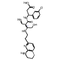 N=C/C(C(=O)NC(CC(=O)O)c1cccc(Cl)c1)=C(/CO)NCCc1ccc2c(n1)NCCC2